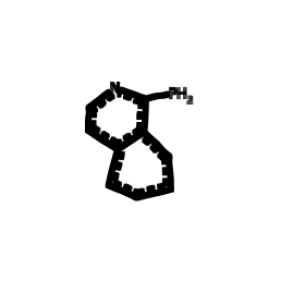 Pc1nccc2ccccc12